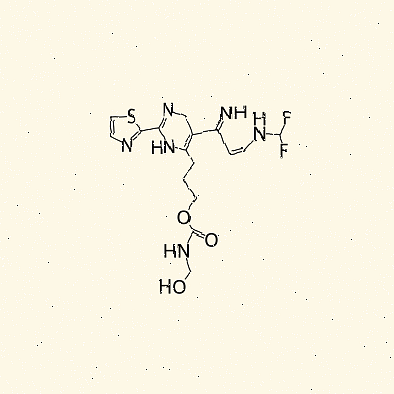 N=C(/C=C\NC(F)F)C1=C(CCCOC(=O)NCO)NC(c2nccs2)=NC1